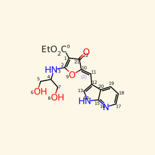 CCOC(=O)C1=C(NC(CO)CO)O/C(=C\c2c[nH]c3ncccc23)C1=O